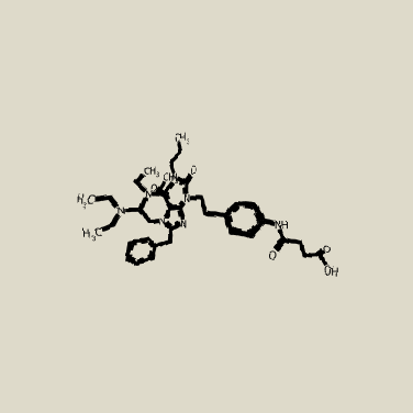 CCCn1c(=O)c2c(nc(Cc3ccccc3)n2CC(N(CC)CC)N(CC)CC)n(CCc2ccc(NC(=O)CCC(=O)O)cc2)c1=O